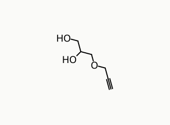 C#CCOCC(O)CO